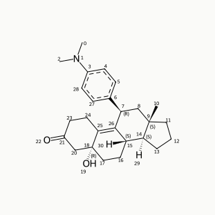 CN(C)c1ccc([C@H]2C[C@]3(C)CCC[C@H]3[C@@H]3CC[C@@]4(O)CC(=O)CCC4=C32)cc1